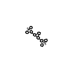 S=P(c1ccccc1)(c1ccccc1)c1ccc(-c2ccc3c4ccc(-c5ccc(P(=S)(c6ccccc6)c6ccccc6)cc5)cc4c4ccccc4c3c2)cc1